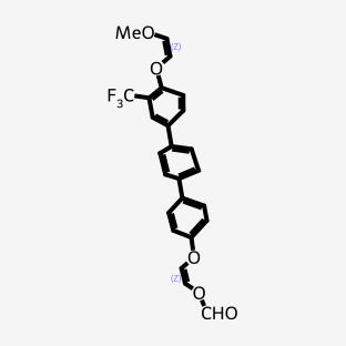 CO/C=C\Oc1ccc(-c2ccc(-c3ccc(O/C=C\OC=O)cc3)cc2)cc1C(F)(F)F